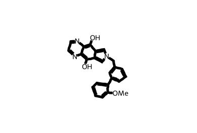 COc1ccccc1-c1cccc(Cn2cc3c(O)c4nccnc4c(O)c3c2)c1